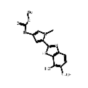 Cn1cc(NC(=O)OC(C)(C)C)cc1-c1nc2ccc(C(=O)O)c(O)c2[nH]1